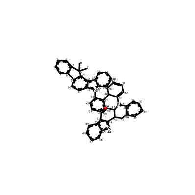 CC1(C)c2ccccc2-c2ccc3c(c21)c1ccccc1n3-c1ccccc1C1CC=CC=C1N1c2ccccc2CC2c3sc4ccccc4c3C=CC21